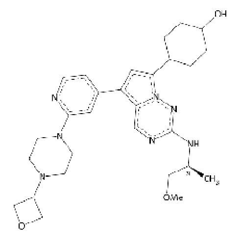 COC[C@H](C)Nc1ncc2c(-c3ccnc(N4CCN(C5COC5)CC4)c3)cc(C3CCC(O)CC3)n2n1